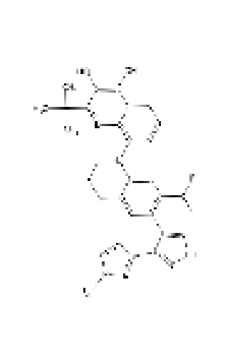 Cn1ccc(-c2n[nH]cc2-c2cc3c(cc2C(F)F)N(c2cccc4c(O)c(O)c(C(C)(C)C)nc24)CCC3)n1